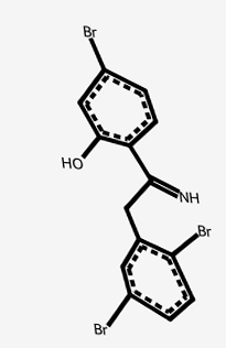 N=C(Cc1cc(Br)ccc1Br)c1ccc(Br)cc1O